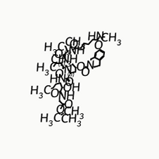 CCCC(NC(=O)[C@@H]1CC(OC(=O)N2CCc3ccccc3C2)CN1C(=O)[C@@H](NC(=O)[C@@H](NC(=O)CCCCC(=O)NC)C(C)C)C(C)C)C(O)C(=O)NCC(=O)OC(C)(C)C